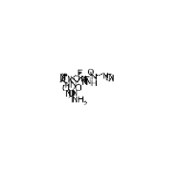 Cc1nc(Cl)c(C(=O)Nc2cc(-n3cc(C(=O)NCCCN4CCN(C)CC4)nn3)c(F)cc2N2CC[C@@H](C)N(C)[C@H](C)C2)nc1N